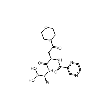 CC[C@H](NC(=O)[C@@H](CC(=O)N1CCOCC1)NC(=O)c1cnccn1)B(O)O